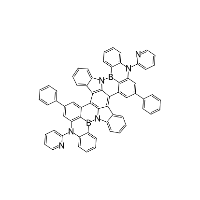 c1ccc(-c2cc3c4c(c2)N(c2ccccn2)c2ccccc2B4n2c4ccccc4c4c5c6c(c-3c42)c2ccccc2n6B2c3ccccc3N(c3ccccn3)c3cc(-c4ccccc4)cc-5c32)cc1